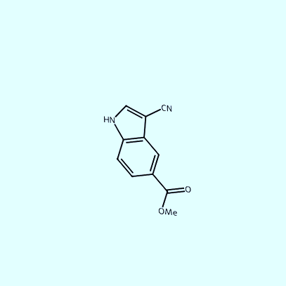 COC(=O)c1ccc2[nH]cc(C#N)c2c1